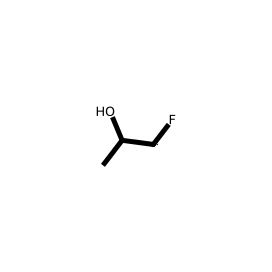 CC(O)[CH]F